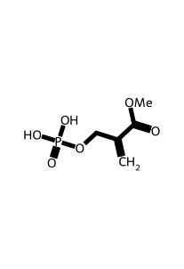 C=C(COP(=O)(O)O)C(=O)OC